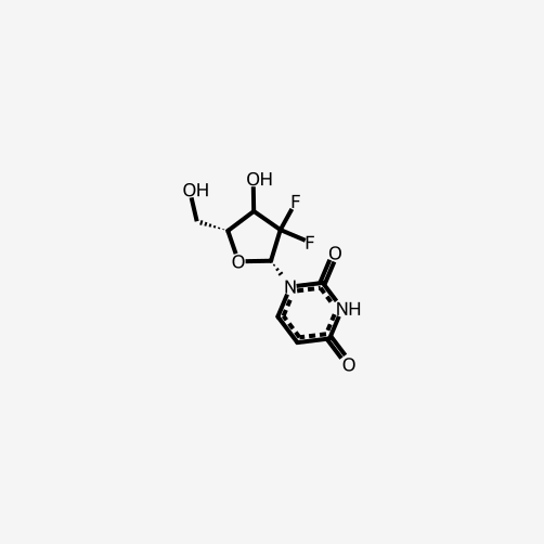 O=c1ccn([C@@H]2O[C@H](CO)C(O)C2(F)F)c(=O)[nH]1